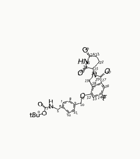 CC(C)(C)OC(=O)NCc1ccc(COc2cc(F)cc3c2CN(C2CCC(=O)NC2=O)C3=O)cc1